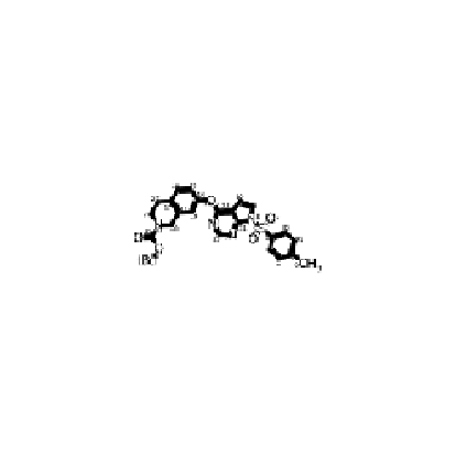 Cc1ccc(S(=O)(=O)n2ccc3c(Oc4ccc5c(c4)CN(C(=O)OC(C)(C)C)CC5)ncnc32)cc1